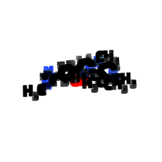 CC1C(N(C)c2ccc(-c3ccc(-c4cn(C)cn4)cc3O)nn2)CCN(C)C1(C)C